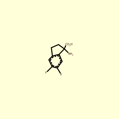 NC1(C(=O)O)CCc2cc(F)c(F)cc21